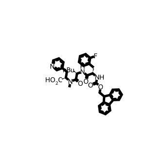 CCCC[C@H](NC(=O)[C@H](Cc1ccccc1F)NC(=O)OCC1c2ccccc2-c2ccccc21)C(=O)N(C)[C@@H](Cc1cccnc1)C(=O)O